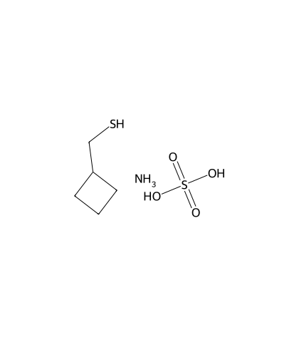 N.O=S(=O)(O)O.SCC1CCC1